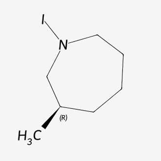 C[C@@H]1CCCCN(I)C1